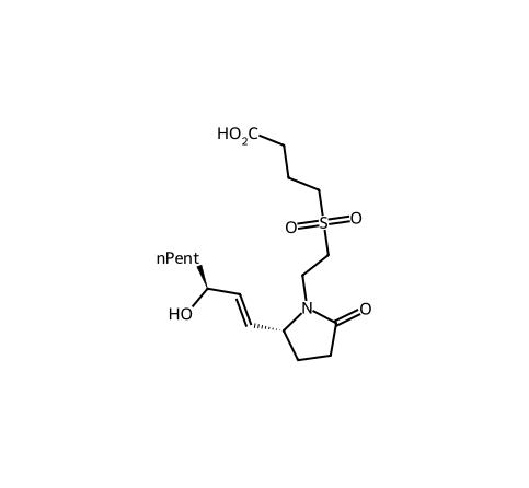 CCCCC[C@H](O)/C=C/[C@H]1CCC(=O)N1CCS(=O)(=O)CCCC(=O)O